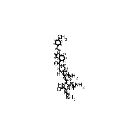 Cc1ccc(CCn2ccc3c(C(=O)N4CCC5(CC4)CN(N)/C(=N\C(=O)C4NC(Cl)=C(N=NN)NC4N=NN)N5)cccc32)cc1